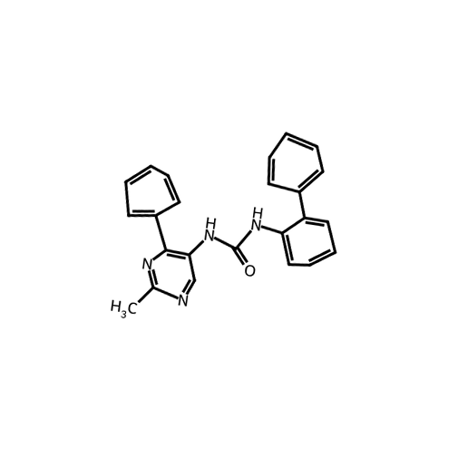 Cc1ncc(NC(=O)Nc2ccccc2-c2ccccc2)c(-c2ccccc2)n1